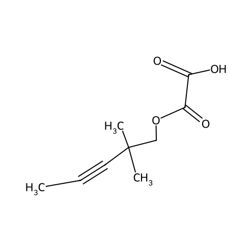 CC#CC(C)(C)COC(=O)C(=O)O